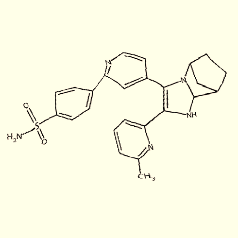 Cc1cccc(C2=C(c3ccnc(-c4ccc(S(N)(=O)=O)cc4)c3)N3C4CCC(C4)C3N2)n1